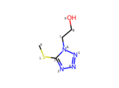 CSc1nnnn1CCO